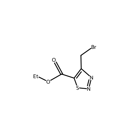 CCOC(=O)c1snnc1CBr